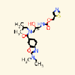 CCN(C)c1nc2ccc(C(=O)N(CC(C)C)C[C@@H](O)CNC(=O)OCc3cncs3)cc2o1